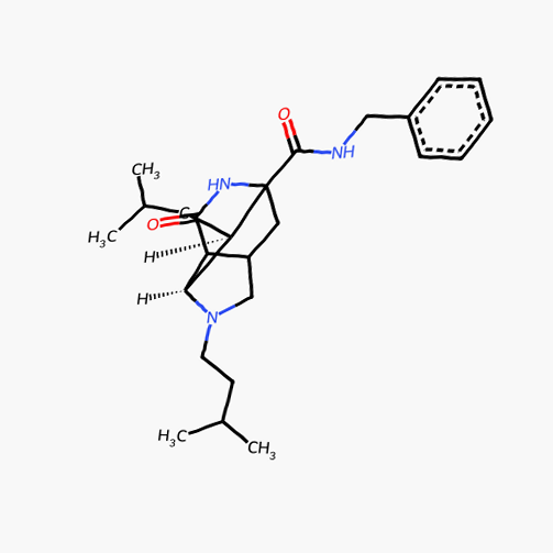 CC(C)CCN1CC2CC3(C(=O)NCc4ccccc4)NC(=O)C2[C@H]1[C@H]3CC(C)C